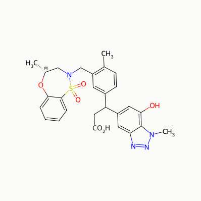 Cc1ccc(C(CC(=O)O)c2cc(O)c3c(c2)nnn3C)cc1CN1C[C@@H](C)Oc2ccccc2S1(=O)=O